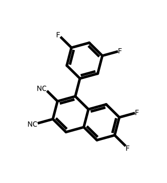 N#Cc1cc2cc(F)c(F)cc2c(-c2cc(F)cc(F)c2)c1C#N